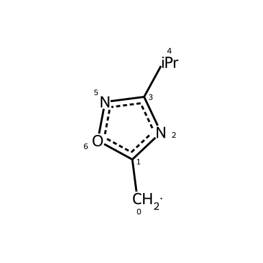 [CH2]c1nc(C(C)C)no1